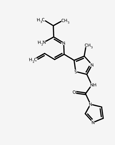 C=C/C=C(\N=C(/N)C(C)C)c1sc(NC(=O)n2ccnc2)nc1C